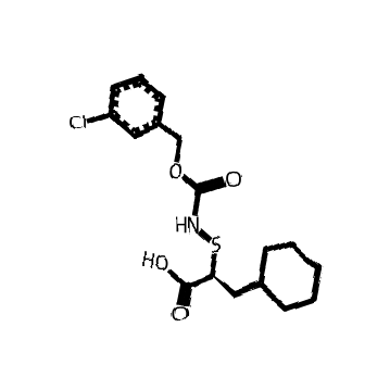 O=C(NS[C@@H](CC1CCCCC1)C(=O)O)OCc1cccc(Cl)c1